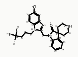 O=C1N(Cc2nc3cc(Cl)ccc3n2CCCC(F)(F)F)c2ccccc2C12CCNCC2